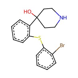 OC1(c2ccccc2Sc2ccccc2Br)CCNCC1